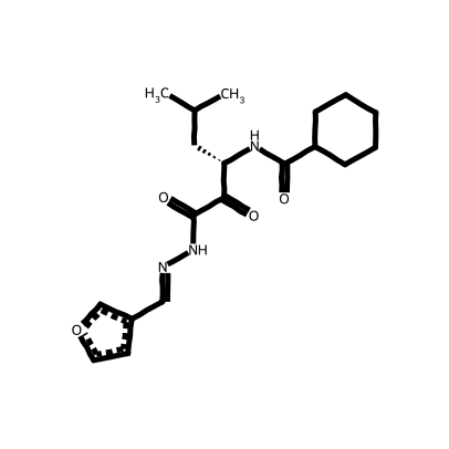 CC(C)C[C@H](NC(=O)C1CCCCC1)C(=O)C(=O)N/N=C/c1ccoc1